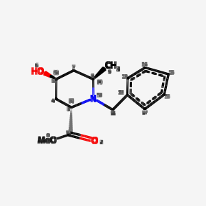 COC(=O)[C@@H]1C[C@@H](O)C[C@@H](C)N1Cc1ccccc1